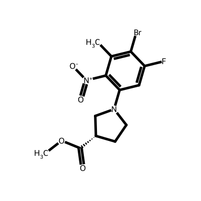 COC(=O)[C@H]1CCN(c2cc(F)c(Br)c(C)c2[N+](=O)[O-])C1